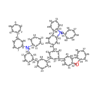 c1ccc(-c2cccc(N(c3ccccc3)c3cccc(-c4cccc(-c5cc(-c6ccc7oc8ccccc8c7c6)cc(-c6ccc7c8ccccc8n(-c8ccccc8)c7c6)c5)c4)c3)c2)cc1